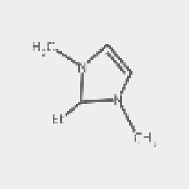 CCC1N(C)C=CN1C